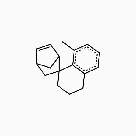 Cc1cccc2c1C1(CCC2)CC2C=CC1C2